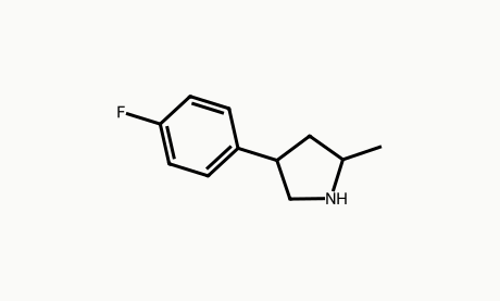 CC1CC(c2ccc(F)cc2)CN1